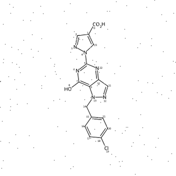 O=C(O)c1cnn(-c2nc(O)c3c(cnn3Cc3ccc(Cl)cc3)n2)c1